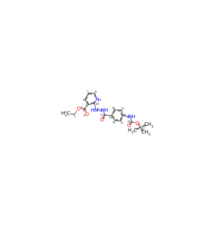 CCOC(=O)c1cccnc1NNC(=O)c1ccc(NC(=O)OC(C)(C)C)cc1